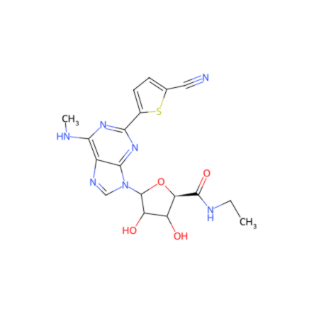 CCNC(=O)[C@@H]1OC(n2cnc3c(NC)nc(-c4ccc(C#N)s4)nc32)C(O)C1O